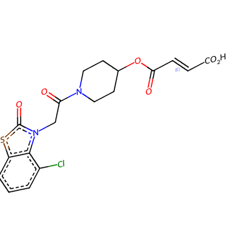 O=C(O)/C=C/C(=O)OC1CCN(C(=O)Cn2c(=O)sc3cccc(Cl)c32)CC1